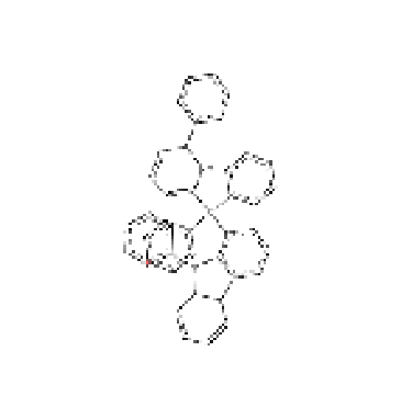 C1=CC(c2ccccc2)NC([Si](c2ccccc2)(c2ccccc2)c2cccc3c2N(c2ccccc2)C2C=CC=CC32)=C1